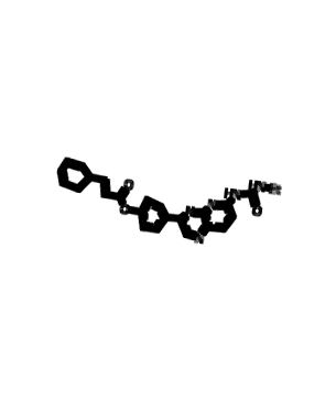 CCNC(=O)Nc1ccc2ncc(-c3ccc(OC(=O)/C=C/C4C=CC=CC4)cc3)nc2n1